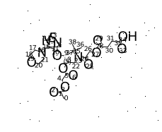 CC(=O)OCC(=O)O[C@H](COc1nsnc1N1CCOCC1)CN(C(=O)COC(=O)CCC(=O)O)C(C)(C)C